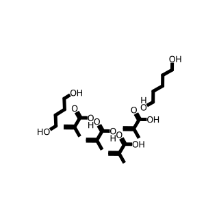 C=C(C)C(=O)O.C=C(C)C(=O)O.C=C(C)C(=O)O.C=C(C)C(=O)O.OCCCCCO.OCCCCO